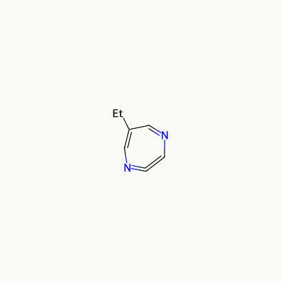 CCC1=CN=C=CN=C1